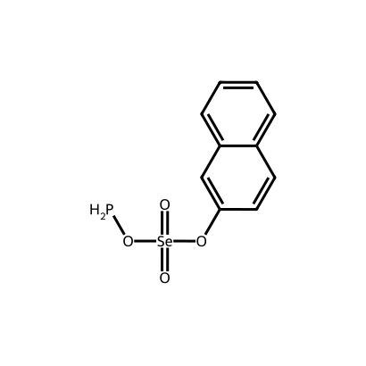 O=[Se](=O)(OP)Oc1ccc2ccccc2c1